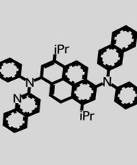 CC(C)C1=CC(N(c2ccccc2)c2ccc3ccccc3n2)C2=CCc3c(C(C)C)cc(N(c4ccccc4)c4ccc5ccccc5c4)c4ccc1c2c34